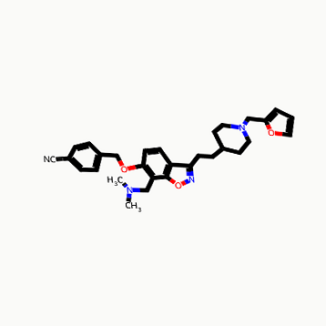 CN(C)Cc1c(OCc2ccc(C#N)cc2)ccc2c(CCC3CCN(Cc4ccco4)CC3)noc12